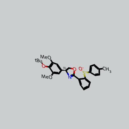 COc1cc([C@H]2COC(c3ccccc3[S+]([O-])c3ccc(C)cc3)=N2)cc(OC)c1OC(C)(C)C